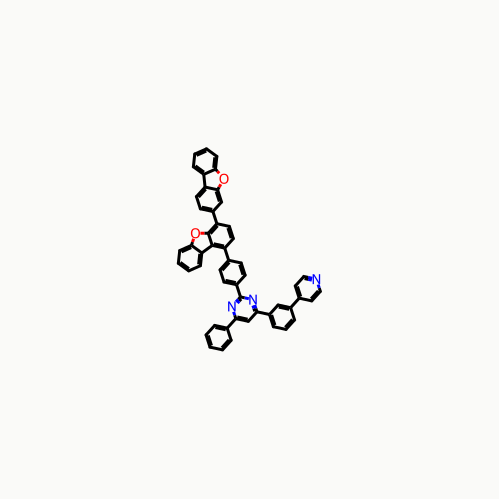 c1ccc(-c2cc(-c3cccc(-c4ccncc4)c3)nc(-c3ccc(-c4ccc(-c5ccc6c(c5)oc5ccccc56)c5oc6ccccc6c45)cc3)n2)cc1